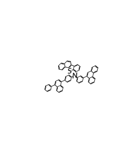 c1ccc(-c2ccc(-c3ccc(N(c4cccc(-c5cc6ccccc6c6ccccc56)c4)c4cccc5c4sc4c6ccccc6ccc54)cc3)c3ccccc23)cc1